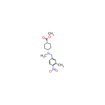 COC(=O)[C@H]1CC[C@H](N(C)Cc2ccc([N+](=O)[O-])c(C)c2)CC1